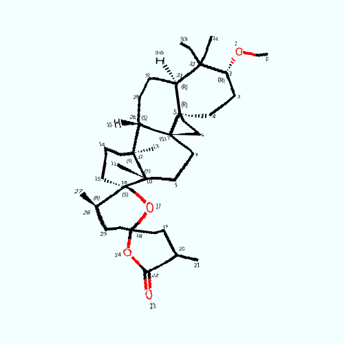 CO[C@@H]1CC[C@]23C[C@]24CC[C@@]2(C)[C@@](C)(CC[C@@]25OC2(CC(C)C(=O)O2)C[C@H]5C)[C@@H]4CC[C@H]3C1(C)C